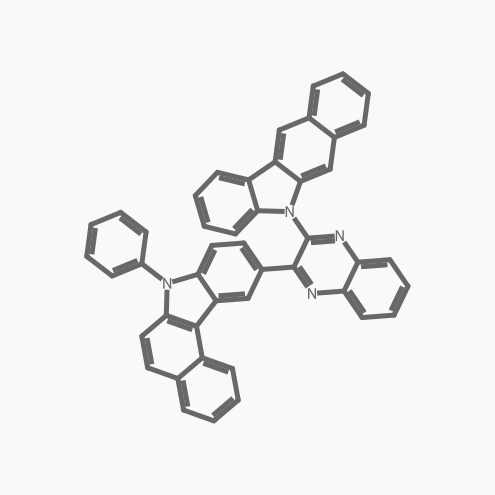 c1ccc(-n2c3ccc(-c4nc5ccccc5nc4-n4c5ccccc5c5cc6ccccc6cc54)cc3c3c4ccccc4ccc32)cc1